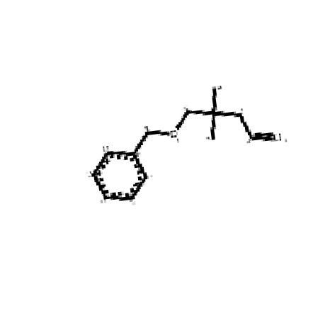 CC(C)(CC=O)COCc1ccccc1